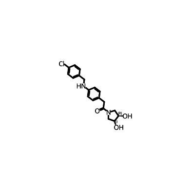 O=C(Cc1ccc(NCc2ccc(Cl)cc2)cc1)N1C[C@@H](O)[C@@H](O)C1